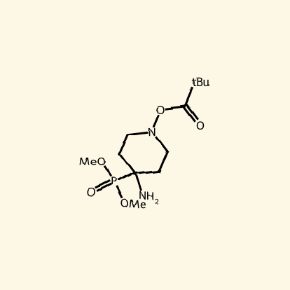 COP(=O)(OC)C1(N)CCN(OC(=O)C(C)(C)C)CC1